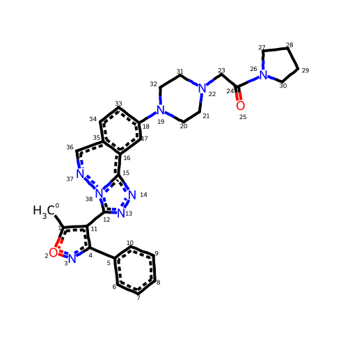 Cc1onc(-c2ccccc2)c1-c1nnc2c3cc(N4CCN(CC(=O)N5CCCC5)CC4)ccc3cnn12